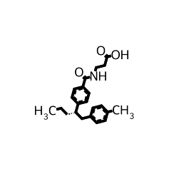 CCC[C@@H](Cc1ccc(C)cc1)c1ccc(C(=O)NCCC(=O)O)cc1